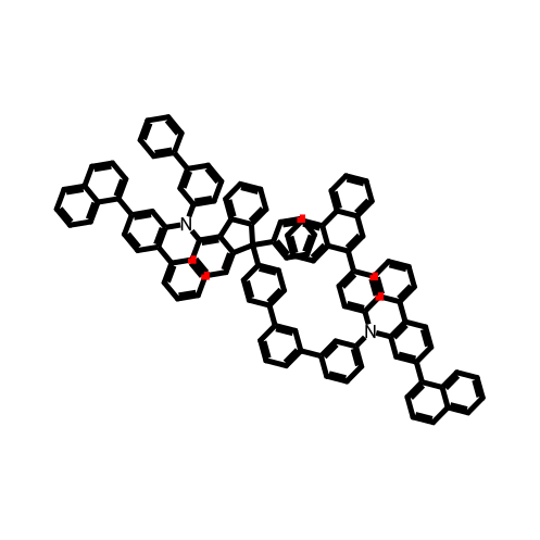 c1ccc(-c2cccc(N(c3cc(-c4cccc5ccccc45)ccc3-c3ccccc3)c3cccc4c3-c3ccccc3C4(c3ccccc3)c3ccc(-c4cccc(-c5cccc(N(c6ccc(-c7cc8ccccc8c8ccccc78)cc6)c6cc(-c7cccc8ccccc78)ccc6-c6ccccc6)c5)c4)cc3)c2)cc1